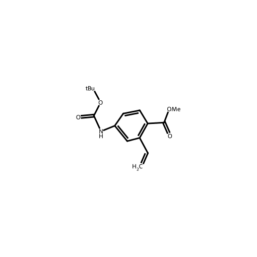 C=Cc1cc(NC(=O)OC(C)(C)C)ccc1C(=O)OC